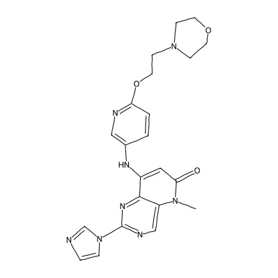 Cn1c(=O)cc(Nc2ccc(OCCN3CCOCC3)nc2)c2nc(-n3ccnc3)ncc21